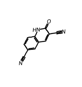 N#Cc1ccc2[nH]c(=O)c(C#N)cc2c1